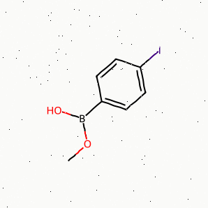 COB(O)c1ccc(I)cc1